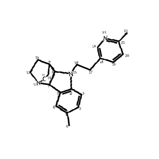 Cc1ccc2c(c1)C1C(C3CCN1CC3)N2CCc1ccc(C)nc1